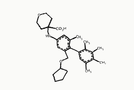 Cc1cc(-c2c(C)cc(NC3(C(=O)O)CCOCC3)cc2COC2CCCC2)c(C)c(C)c1C